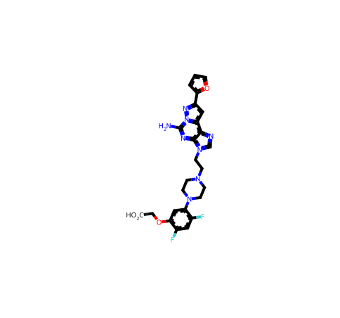 Nc1nc2c(ncn2CCN2CCN(c3cc(OCC(=O)O)c(F)cc3F)CC2)c2cc(-c3ccco3)nn12